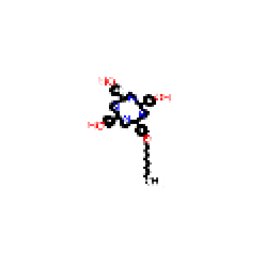 CCCCCCCCCCOc1ccc(C2=C3C=CC(=N3)C(c3ccc(O)cc3)=C3C=CC(=N3)C(c3ccc(O)cc3)=C3C=CC(=N3)C(c3ccc(O)cc3)=C3C=CC2=N3)cc1